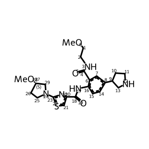 COCCNC(=O)c1cc(C2CCNC2)ccc1NC(=O)c1csc(N2CC[C@H](OC)C2)n1